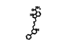 NC(=O)c1cccc2c(CSCCC3CC(c4ccccc4)=CCN3)c[nH]c12